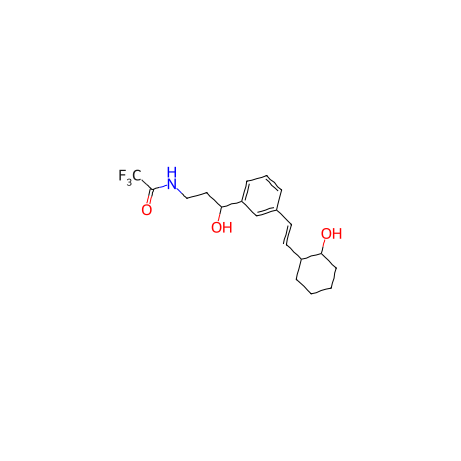 O=C(NCCC(O)c1cccc(/C=C/C2CCCCC2O)c1)C(F)(F)F